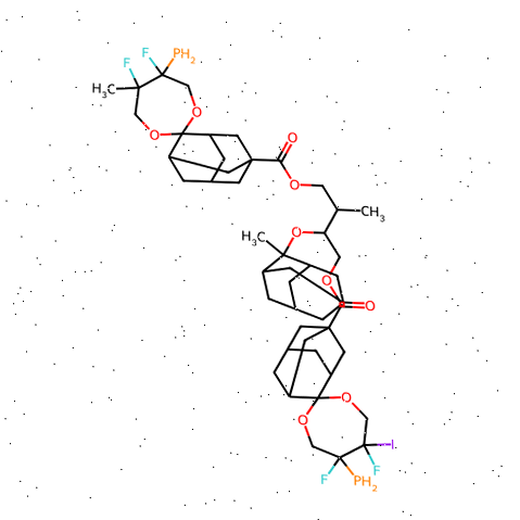 CC(COC(=O)C12CC3CC(C1)C1(OCC(C)(F)C(F)(P)CO1)C(C3)C2)C(COC(=O)C12CC3CC(C1)C1(OCC(F)(P)C(F)(I)CO1)C(C3)C2)OC1(C)C2CC3CC(C2)CC1C3